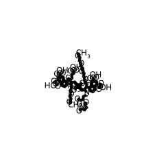 COCCOCCOCCOCCC1(C)/C(=C\C2=C(O)C(=C/C3=[N+](CCOCCOC)c4ccc5c(S(=O)(=O)O)cc(S(=O)(=O)O)cc5c4C3(C)CCCS(=O)(=O)O)/C2=O)N(CCCC(=O)ON2C(=O)CCC2=O)c2ccc3c(S(=O)(=O)O)cc(S(=O)(=O)O)cc3c21